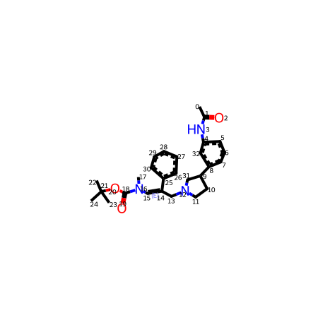 CC(=O)Nc1cccc(C2CCN(C/C(=C/N(C)C(=O)OC(C)(C)C)c3ccccc3)C2)c1